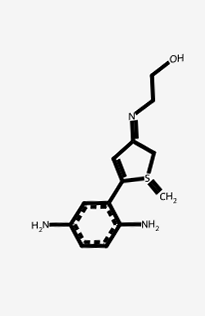 C=S1CC(=NCCO)C=C1c1cc(N)ccc1N